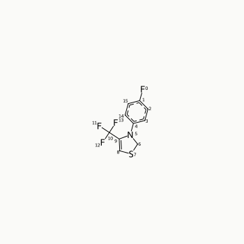 Fc1ccc(N2CSC=C2C(F)(F)F)cc1